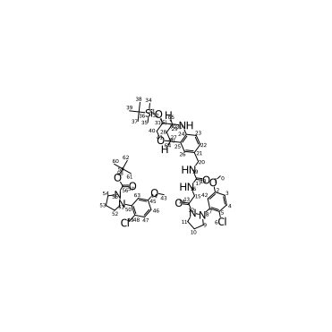 COc1ccc(Cl)c(N2CCCN2C(=O)CNC(=O)NCc2ccc3c(c2)[C@H]2C[C@@H](N3)[C@H](O[Si](C)(C)C(C)(C)C)CO2)c1.COc1ccc(Cl)c(N2CCCN2C(=O)OC(C)(C)C)c1